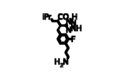 CC(C)C[C@H](C(=O)O)[C@H](Cc1ccc(CCCN)c(F)c1)c1nn[nH]n1